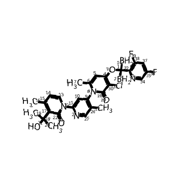 BC(B)(Oc1cc(C)n(-c2cc(-n3ccc(C)c(C(C)(C)O)c3=O)ncc2C)c(=O)c1Cl)c1ncc(F)cc1F